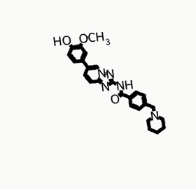 COc1cc(-c2ccc3nc(NC(=O)c4ccc(CN5CCCCC5)cc4)nn3c2)ccc1O